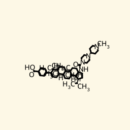 CC(C)[C@@H]1CC[C@]2(NC(=O)N3CCN(C4CCN(C)CC4)CC3)CC[C@]3(C)[C@H](CC[C@@H]4[C@@]5(C)CC=C(c6ccc(C(=O)O)cc6)C(C)(C)[C@@H]5CC[C@]43C)[C@@H]12